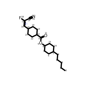 CCCCCC1CCC(OC(=O)C2CCC(/C=C(/F)C#N)CC2)CC1